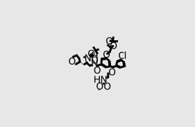 COC(=O)NCCOC(c1cccc(Cl)c1)c1cc(OCC2COC(C)(C)O2)cc(C(=O)NCC(C[C@H]2CCCOC2)N(C)C(=O)OC(C)(C)C)c1